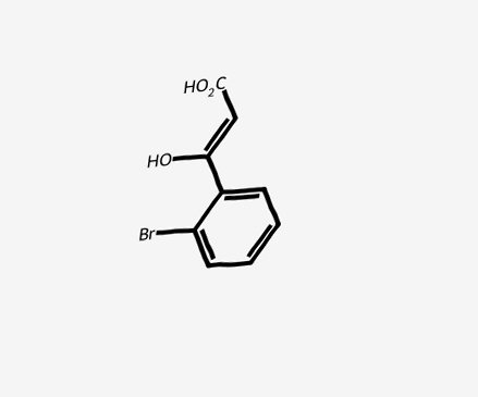 O=C(O)C=C(O)c1ccccc1Br